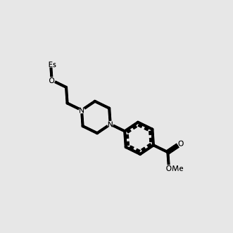 COC(=O)c1ccc(N2CCN(CC[O][Es])CC2)cc1